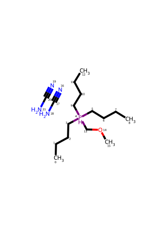 CCCC[PH](CCCC)(CCCC)COC.N#CN.N#CN